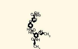 CC#CC(=O)Nc1cc(NC(=O)Nc2ccc(Oc3ccnc(C(=O)NC)c3)cc2)cc(-n2cnc(C)c2)c1